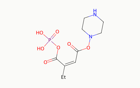 CC/C(=C/C(=O)ON1CCNCC1)C(=O)OP(=O)(O)O